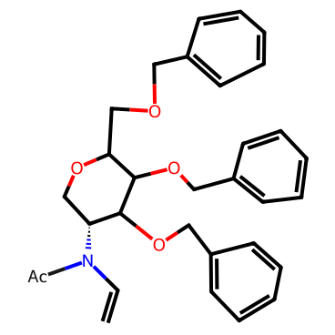 C=CN(C(C)=O)[C@@H]1COC(COCc2ccccc2)C(OCc2ccccc2)C1OCc1ccccc1